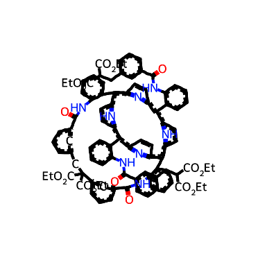 CCOC(=O)C(Cc1cccc(C(=O)Nc2ccccc2-c2c3nc(c4c5ccc([nH]5)c(-c5ccccc5NC(=O)c5cccc(CC(C(=O)OCC)C(=O)OCC)c5)c5nc(c(c6ccc2[nH]6)-c2ccccc2NC(=O)c2cccc(c2)CC(C(=O)OCC)(C(=O)OCC)c2cccc(c2)C(=O)Nc2ccccc2-4)C=C5)C=C3)c1)C(=O)OCC